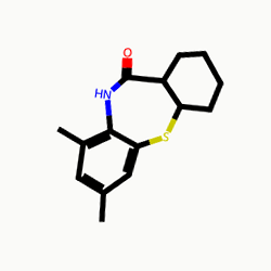 Cc1cc(C)c2c(c1)SC1CCCCC1C(=O)N2